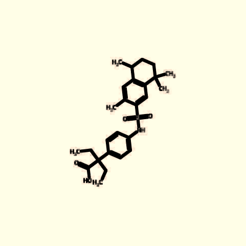 CCC(CC)(C(=O)O)c1ccc(NS(=O)(=O)c2cc3c(cc2C)C(C)CCC3(C)C)cc1